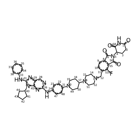 O=C1CCC(N2C(=O)c3ccc(CN4CCN(C5CCN(c6ccc(Nc7ncc8nc(Nc9ccccc9)n(C9CCCC9)c8n7)cc6)CC5)CC4)c(F)c3C2=O)C(=O)N1